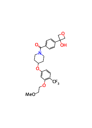 COCCOc1cc(OC2CCN(C(=O)c3ccc(C4(O)COC4)cc3)CC2)ccc1C(F)(F)F